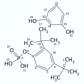 CC(C)(C)c1ccc(OP(=O)(O)O)c(C(C)(C)C)c1.Oc1cccc(O)c1